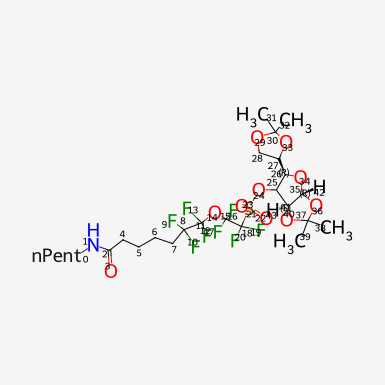 CCCCCNC(=O)CCCCC(F)(F)C(F)(F)OC(F)(F)C(F)(F)S(=O)(=O)OC1[C@@H](C2COC(C)(C)O2)O[C@@H]2OC(C)(C)O[C@@H]12